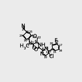 CN1C(=O)[C@@H](NC(=O)c2ncc(Cl)c(-c3cccc(F)c3)n2)COc2cc(C#N)ccc21